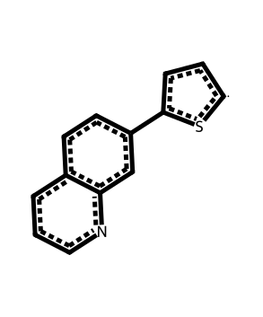 [c]1ccc(-c2ccc3cccnc3c2)s1